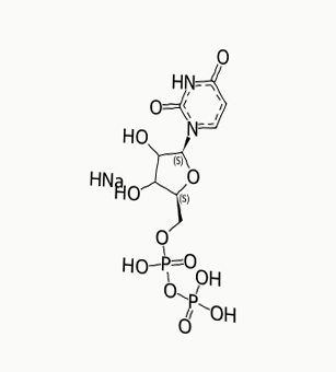 O=c1ccn([C@H]2O[C@@H](COP(=O)(O)OP(=O)(O)O)C(O)C2O)c(=O)[nH]1.[NaH]